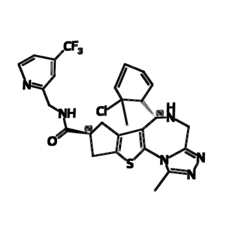 Cc1nnc2n1-c1sc3c(c1[C@H](C1C=CC=CC1(C)Cl)NC2)C[C@H](C(=O)NCc1cc(C(F)(F)F)ccn1)C3